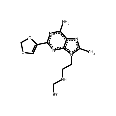 Cc1nc2c(N)nc(C3=COCO3)nc2n1CCNCC(C)C